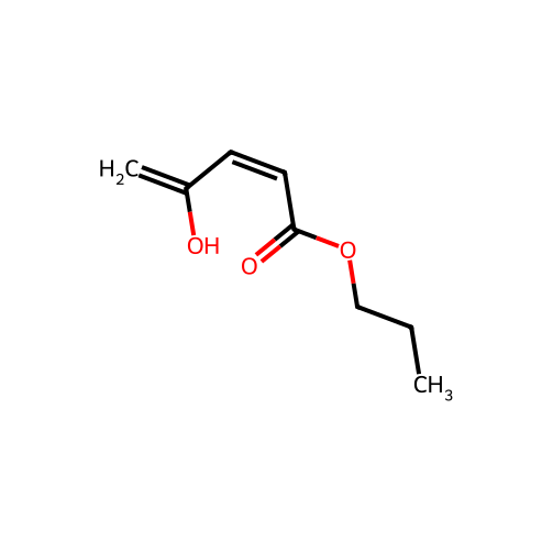 C=C(O)/C=C\C(=O)OCCC